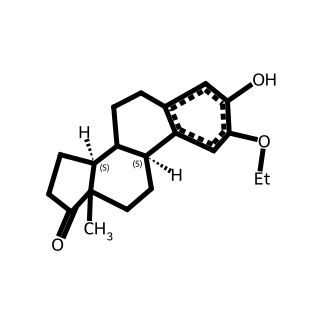 CCOc1cc2c(cc1O)CCC1[C@@H]2CCC2(C)C(=O)CC[C@@H]12